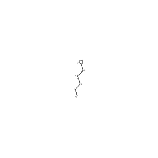 CCCSCCl